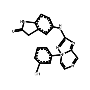 O=C1Cc2cc(NC3=N[N+]4(c5cccc(O)c5)C=CN=CC4=N3)ccc2N1